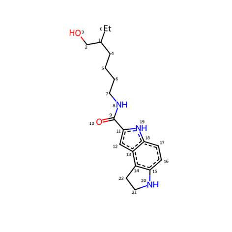 CCC(CO)CCCCNC(=O)c1cc2c3c(ccc2[nH]1)NCC3